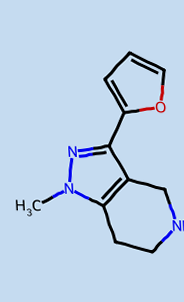 Cn1nc(-c2ccco2)c2c1CCNC2